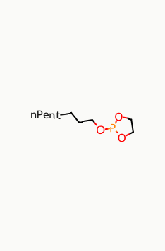 CCCCCCCCOP1OCCO1